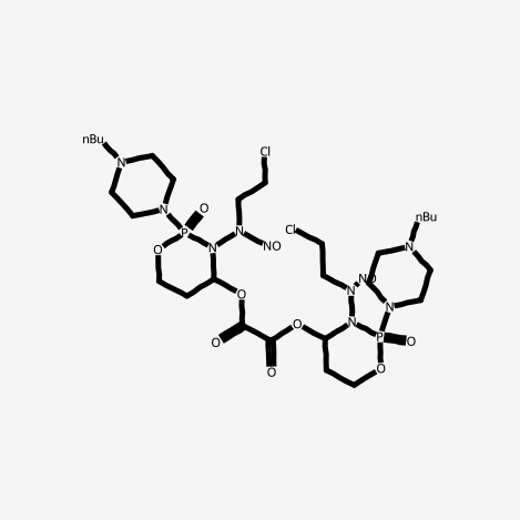 CCCCN1CCN(P2(=O)OCCC(OC(=O)C(=O)OC3CCOP(=O)(N4CCN(CCCC)CC4)N3N(CCCl)N=O)N2N(CCCl)N=O)CC1